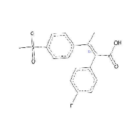 C/C(=C(\C(=O)O)c1ccc(F)cc1)c1ccc(S(C)(=O)=O)cc1